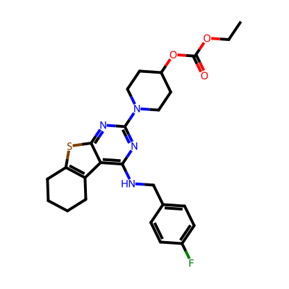 CCOC(=O)OC1CCN(c2nc(NCc3ccc(F)cc3)c3c4c(sc3n2)CCCC4)CC1